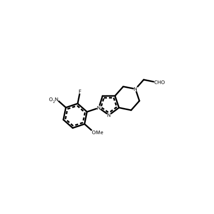 COc1ccc([N+](=O)[O-])c(F)c1-n1cc2c(n1)CCN(CC=O)C2